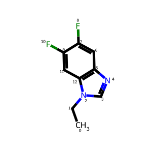 CCn1cnc2cc(F)c(F)cc21